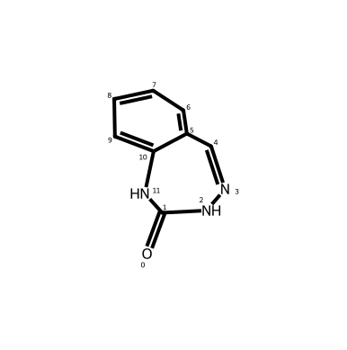 O=C1NN=Cc2ccccc2N1